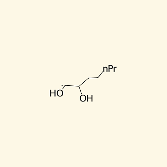 [CH2]CCCCC(O)[CH]O